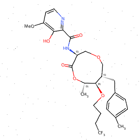 COc1ccnc(C(=O)N[C@H]2COC[C@H](Cc3ccc(C)cc3)[C@@H](OCCCC(F)(F)F)[C@H](C)OC2=O)c1O